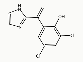 C=C(c1ncc[nH]1)c1cc(Cl)cc(Cl)c1O